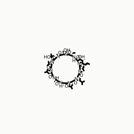 C/C=C/C[C@@H](C)[C@@H](O)[C@H]1C(=O)N[C@@H](CC)C(=O)N(C)[C@H](CO)C(=O)N(C)[C@@H](CC(C)(C)O)C(=O)N[C@H](C(C)C)C(=O)N(C)[C@H](CC(C)C)C(=O)N[C@H](C)C(=O)N[C@@H](C)C(=O)N(C)[C@@H](CC(C)C)C(=O)N(C)[C@@H](CCC(C)C)C(=O)N(C)[C@@H](C(C)C)C(=O)N1C